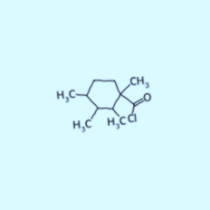 CC1CCC(C)(C(=O)Cl)C(C)C1C